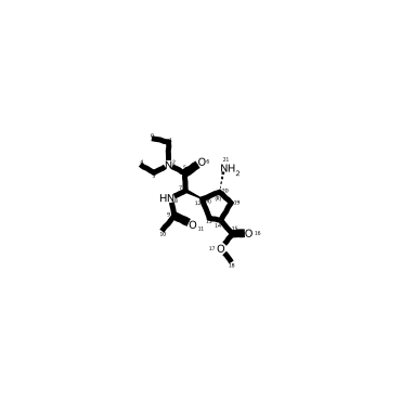 CCN(CC)C(=O)C(NC(C)=O)[C@@H]1CC(C(=O)OC)C[C@H]1N